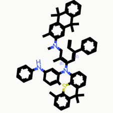 C=C/C(=C\C(=C(\C)CN(C)c1cc2c(cc1C)C(C)(C)c1ccccc1C2(C)C)N(C1=CC(Nc2ccccc2)CC=C1C)c1cccc2c1Sc1c(C)cccc1C2(C)C)c1ccccc1